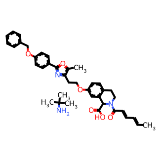 CC(C)(C)N.CC=CC=CC(=O)N1CCc2ccc(OCCc3nc(-c4ccc(OCc5ccccc5)cc4)oc3C)cc2C1C(=O)O